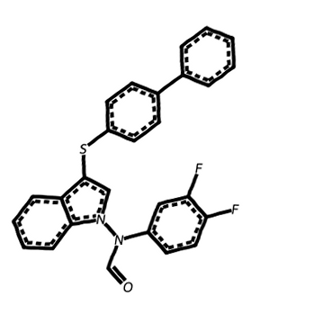 O=CN(c1ccc(F)c(F)c1)n1cc(Sc2ccc(-c3ccccc3)cc2)c2ccccc21